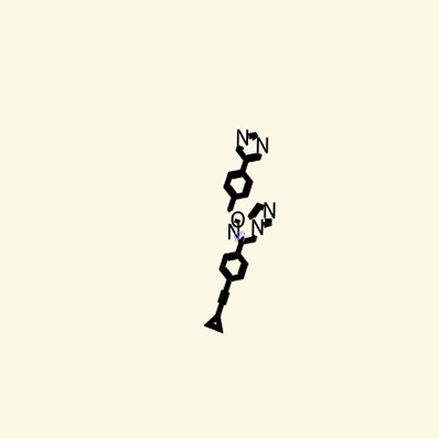 C(#CC1CC1)c1ccc(/C(Cn2ccnc2)=N/OCc2ccc(-c3cncnc3)cc2)cc1